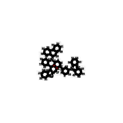 c1cc(-c2ccc(N(c3ccccc3-c3cccc4oc5ccccc5c34)c3cc4ccccc4c4ccccc34)cc2)cc(-n2c3ccccc3c3ccccc32)c1